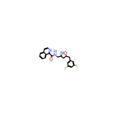 O=C(NCC1=NOC(Cc2cc(F)cc(F)c2)C1)c1nccc2ccccc12